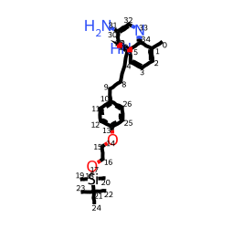 CC1=CC=CC23NC(CCc4ccc(OCCO[Si](C)(C)C(C)(C)C)cc4)=CC=C2C(N)=CN=C13